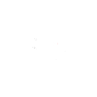 N#CC(C#N)=CCC1(O)C=CC=CC1